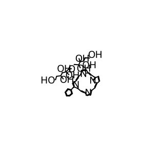 C1=CC2=NC1=CC1=NC(=CC3=NC(=CC4=NC(=C2)C=C4)C=C3c2ccccc2)C=C1.OCCC(O)C(O)C(O)COCC(O)C(O)C(O)CCO